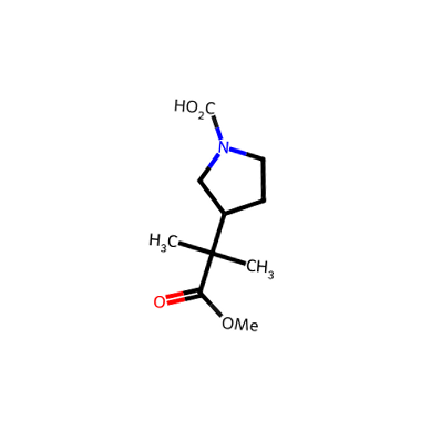 COC(=O)C(C)(C)C1CCN(C(=O)O)C1